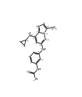 CC(C)C(=O)Nc1cccc(Nc2cc(NC3CC3)c3ncc(N)n3n2)c1